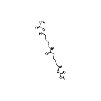 CC(=O)ONCCCCNC(=O)CCCCNOC(C)=O